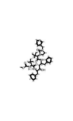 COC(=O)NC(C(=O)NC(Cc1ccccc1)C(O)CC(Cc1ccccc1)NC(=O)C(N1CCN(Cc2cccnc2)C1=O)C(C)(C)C)C(C)(C)C